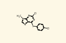 Cn1cnc2c(Sc3ccc(Cl)cc3)nc(Cl)nc21